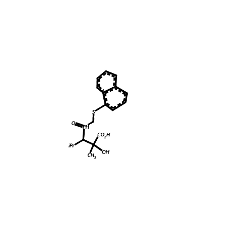 CC(C)C([PH](=O)CSc1cccc2ccccc12)C(C)(O)C(=O)O